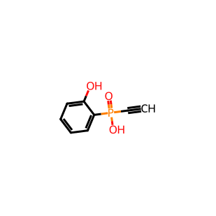 C#CP(=O)(O)c1ccccc1O